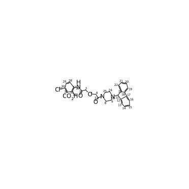 O=C(COCC(=O)N1CCN(C2c3ccccc3-c3ccccc32)CC1)Nc1ccc(Cl)cc1C(=O)O